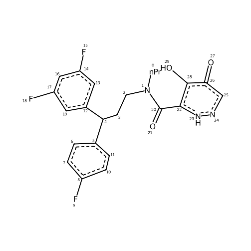 CCCN(CCC(c1ccc(F)cc1)c1cc(F)cc(F)c1)C(=O)c1[nH]ncc(=O)c1O